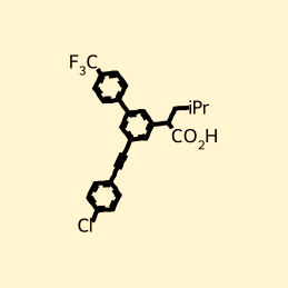 CC(C)CC(C(=O)O)c1cc(C#Cc2ccc(Cl)cc2)cc(-c2ccc(C(F)(F)F)cc2)c1